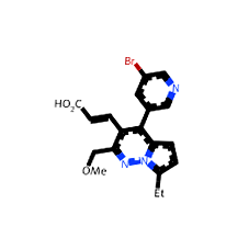 CCc1ccc2c(-c3cncc(Br)c3)c(C=CC(=O)O)c(COC)nn12